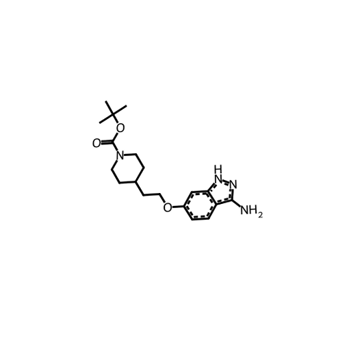 CC(C)(C)OC(=O)N1CCC(CCOc2ccc3c(N)n[nH]c3c2)CC1